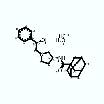 Cl.O.O=C(N[C@H]1CCN(C[C@H](O)c2ccccc2)C1)C12CC3CC(CC(C3)C1)C2